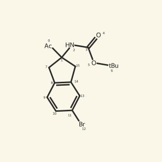 CC(=O)C1(NC(=O)OC(C)(C)C)Cc2ccc(Br)cc2C1